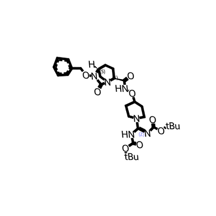 CC(C)(C)OC(=O)/N=C(/NC(=O)OC(C)(C)C)N1CCC(ONC(=O)[C@@H]2CC[C@H]3CN2C(=O)N3OCc2ccccc2)CC1